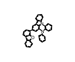 c1ccc(N2c3ccccc3-n3c4ccccc4c4cc(-c5cccc6c5oc5ccccc56)cc2c43)cc1